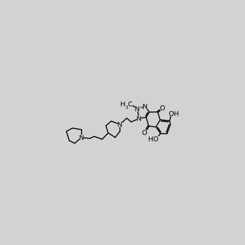 C[n+]1nc2c(n1CCN1CCC(CCCN3CCCCC3)CC1)C(=O)c1c(O)ccc(O)c1C2=O